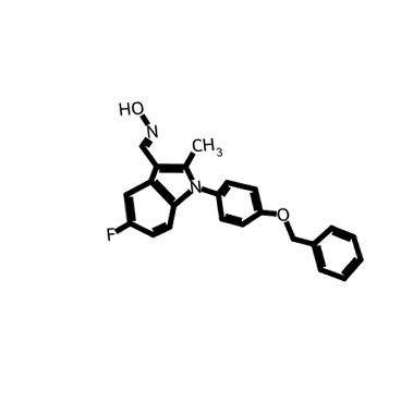 Cc1c(/C=N/O)c2cc(F)ccc2n1-c1ccc(OCc2ccccc2)cc1